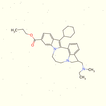 CCCOC(=O)c1ccc2c(C3CCCCC3)c3n(c2c1)CCCN1CC(CN(C)CC)c2cccc-3c21